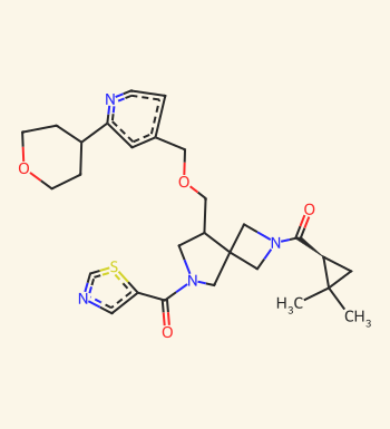 CC1(C)C[C@@H]1C(=O)N1CC2(CN(C(=O)c3cncs3)CC2COCc2ccnc(C3CCOCC3)c2)C1